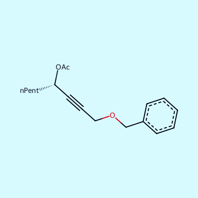 CCCCC[C@@H](C#CCOCc1ccccc1)OC(C)=O